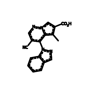 Cc1c(C(=O)O)cn2ncc(C#N)c(-n3ncc4ccccc43)c12